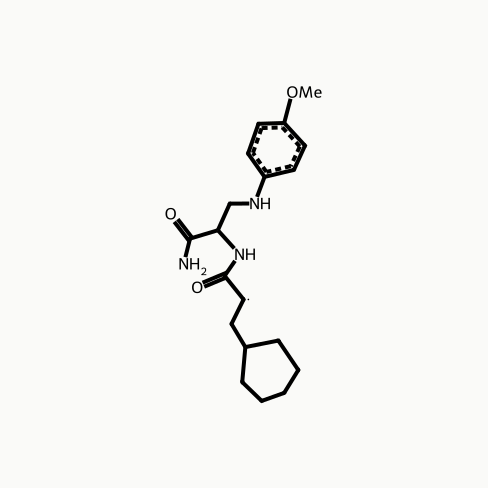 COc1ccc(NCC(NC(=O)[CH]CC2CCCCC2)C(N)=O)cc1